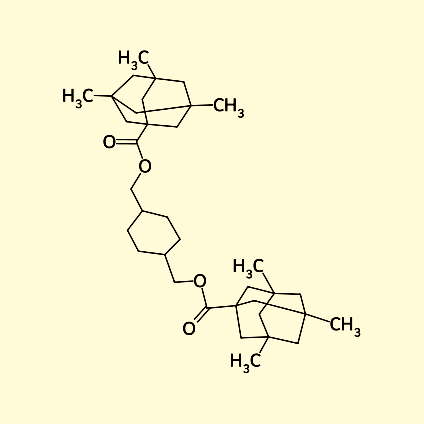 CC12CC3(C)CC(C)(C1)CC(C(=O)OCC1CCC(COC(=O)C45CC6(C)CC(C)(CC(C)(C6)C4)C5)CC1)(C2)C3